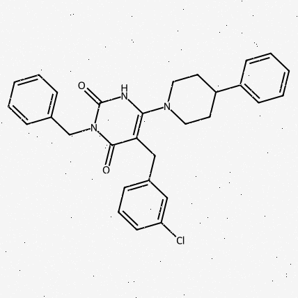 O=c1[nH]c(N2CCC(c3ccccc3)CC2)c(Cc2cccc(Cl)c2)c(=O)n1Cc1ccccc1